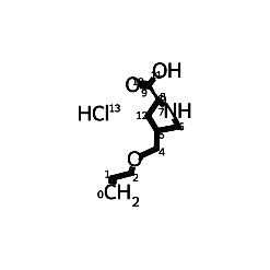 C=CCOCC1CN[C@H](C(=O)O)C1.Cl